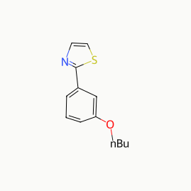 CCCCOc1cccc(-c2nccs2)c1